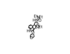 CCN(CC)C(=O)N[C@H]1CC2c3cccc4[nH]c(CN5CCOCC5)c(c34)C[C@H]2N(CC)C1